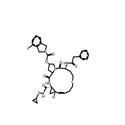 O=C(Cc1ccccc1)N[C@H]1CCCCC/C=C\[C@@H]2C[C@@]2(C(=O)NSC2CC2)NC(=O)C2C[C@@H](OC(=O)N3Cc4cccc(F)c4C3)CN2C1=O